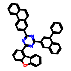 c1ccc(-c2cc(-c3nc(-c4ccc5c(ccc6ccccc65)c4)nc(-c4cccc5oc6ccccc6c45)n3)cc3ccccc23)cc1